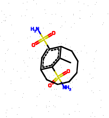 Cc1c2c(S(N)(=O)=O)cc(c1S(N)(=O)=O)CCCCCC2